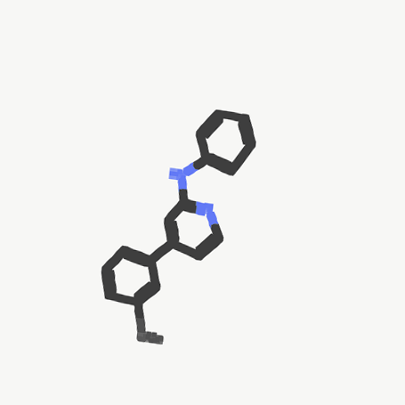 COc1cccc(-c2ccnc(Nc3ccccc3)c2)c1